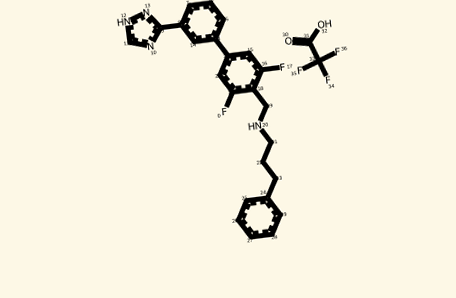 Fc1cc(-c2cccc(-c3nc[nH]n3)c2)cc(F)c1CNCCCc1ccccc1.O=C(O)C(F)(F)F